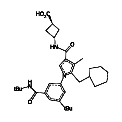 Cc1c(C(=O)N[C@H]2C[C@H](C(=O)O)C2)cn(-c2cc(C(=O)NC(C)(C)C)cc(C(C)(C)C)c2)c1CC1CCCCC1